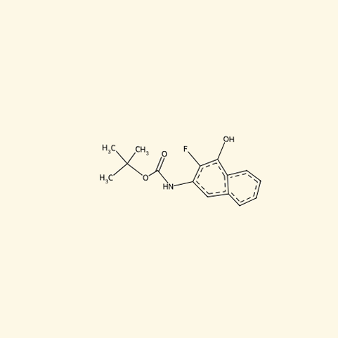 CC(C)(C)OC(=O)Nc1cc2ccccc2c(O)c1F